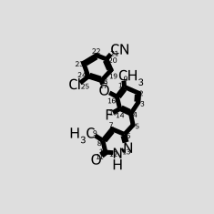 Cc1ccc(Cc2cc(C)c(=O)[nH]n2)c(F)c1Oc1cc(C#N)ccc1Cl